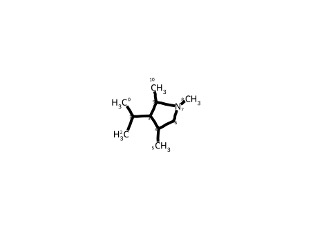 CC(C)C1C(C)CN(C)C1C